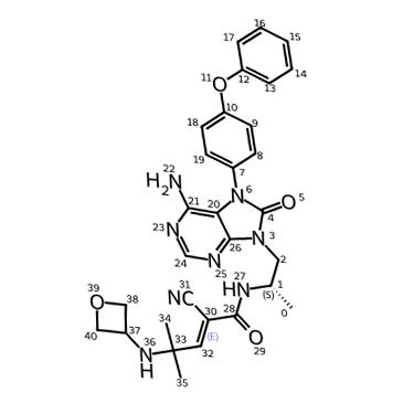 C[C@@H](Cn1c(=O)n(-c2ccc(Oc3ccccc3)cc2)c2c(N)ncnc21)NC(=O)/C(C#N)=C/C(C)(C)NC1COC1